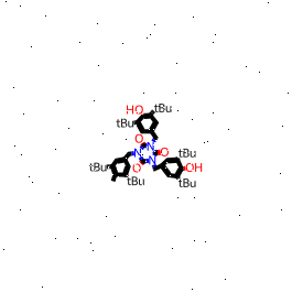 Cc1c(C(C)(C)C)cc(Cn2c(=O)n(Cc3cc(C(C)(C)C)c(O)c(C(C)(C)C)c3)c(=O)n(Cc3cc(C(C)(C)C)c(O)c(C(C)(C)C)c3)c2=O)cc1C(C)(C)C